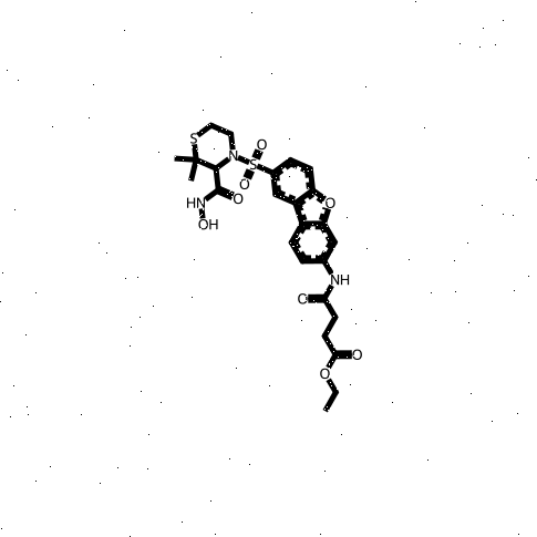 CCOC(=O)CCC(=O)Nc1ccc2c(c1)oc1ccc(S(=O)(=O)N3CCSC(C)(C)C3C(=O)NO)cc12